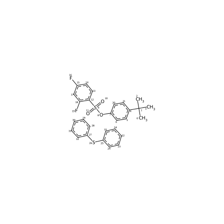 CC(C)(C)c1ccc(OS(=O)(=O)c2ccc(F)cc2F)cc1.c1ccc(Sc2ccccc2)cc1